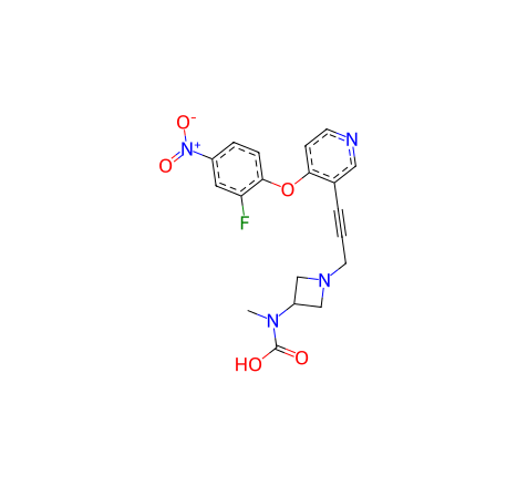 CN(C(=O)O)C1CN(CC#Cc2cnccc2Oc2ccc([N+](=O)[O-])cc2F)C1